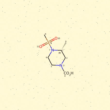 C[C@@H]1CN(C(=O)O)CCN1S(C)(=O)=O